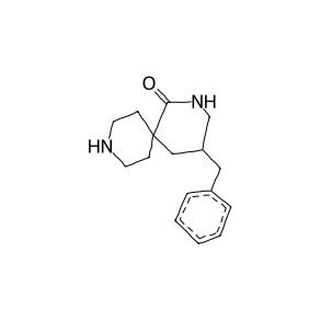 O=C1NCC(Cc2ccccc2)CC12CCNCC2